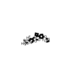 CNS(=O)(=O)Nc1nccc(CN2C(=O)Oc3c(ccc(Oc4ncco4)c3F)C23CCC3)c1F